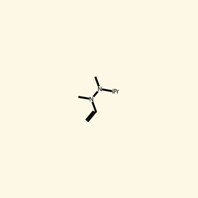 C=CN(C)N(C)C(C)C